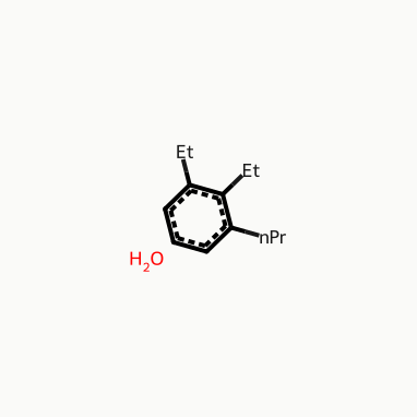 CCCc1cccc(CC)c1CC.O